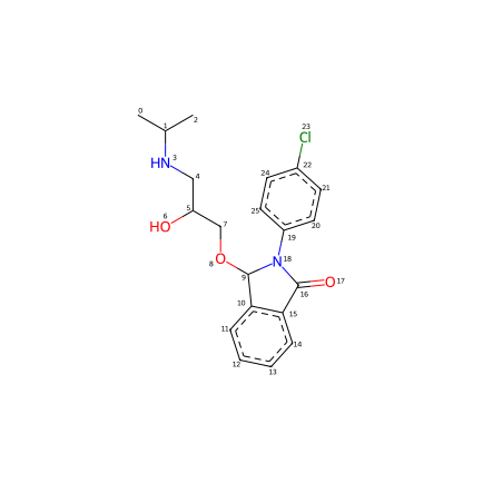 CC(C)NCC(O)COC1c2ccccc2C(=O)N1c1ccc(Cl)cc1